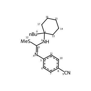 CCCCC1(NC(=Nc2ccc(C#N)cc2)SC)CCCCC1